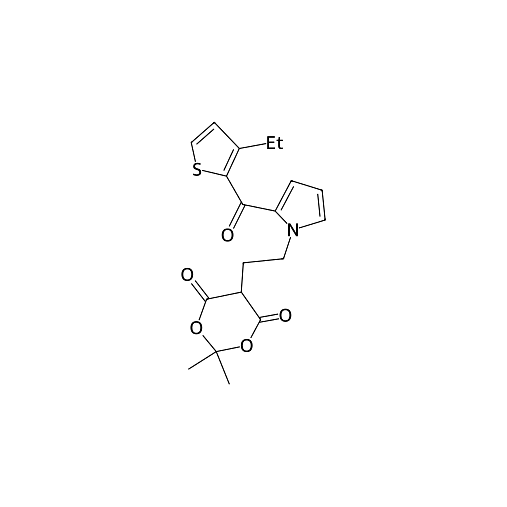 CCc1ccsc1C(=O)c1cccn1CCC1C(=O)OC(C)(C)OC1=O